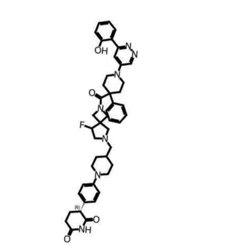 O=C1CC[C@H](c2ccc(N3CCC(CN4CC(F)C5(C4)CN(C(=O)C4(c6ccccc6)CCN(c6cnnc(-c7ccccc7O)c6)CC4)C5)CC3)cc2)C(=O)N1